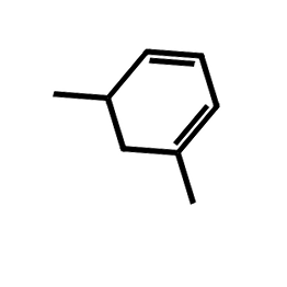 C[C]1C=CC=C(C)C1